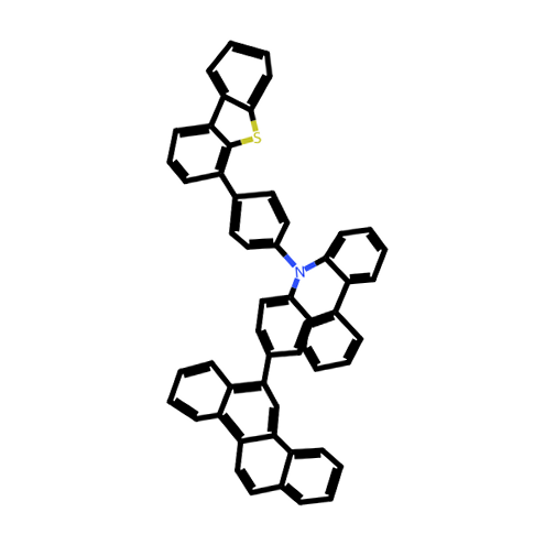 c1ccc(-c2ccccc2N(c2ccc(-c3cc4c5ccccc5ccc4c4ccccc34)cc2)c2ccc(-c3cccc4c3sc3ccccc34)cc2)cc1